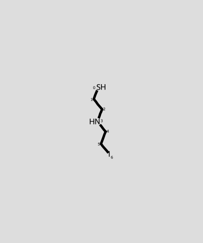 SCCNCCI